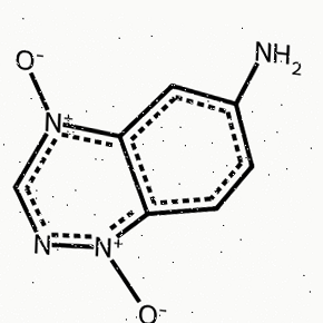 Nc1ccc2c(c1)[n+]([O-])cn[n+]2[O-]